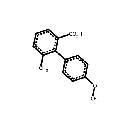 Cc1cccc(C(=O)O)c1-c1ccc(OC(F)(F)F)cc1